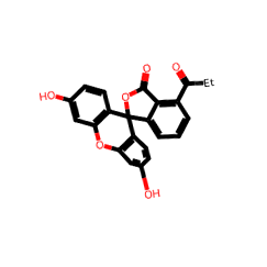 CCC(=O)c1cccc2c1C(=O)OC21c2ccc(O)cc2Oc2cc(O)ccc21